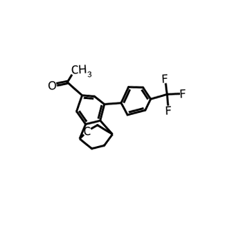 CC(=O)c1cc(-c2ccc(C(F)(F)F)cc2)c2c(c1)C1CCC2CC1